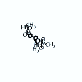 CCCN(CCC)C(=O)C1=Cc2ccc(-c3ccc4c(c3)CN(CC(=O)NC)C4=O)cc2N=C(N)C1